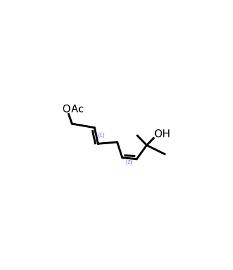 CC(=O)OC/C=C/C/C=C\C(C)(C)O